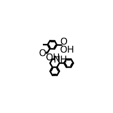 Cc1ccc(C(=O)O)cc1C(=O)O.c1ccc(C2NCCc3ccccc32)cc1